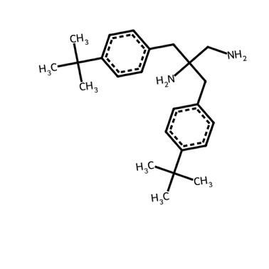 CC(C)(C)c1ccc(CC(N)(CN)Cc2ccc(C(C)(C)C)cc2)cc1